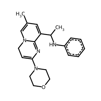 CC1=CN2CC=C(N3CCOCC3)N=C2C(C(C)Nc2ccccc2)=C1